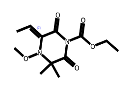 C/C=C1/C(=O)N(C(=O)OCC)C(=O)C(C)(C)N1OC